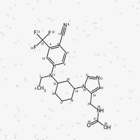 CCN(c1ccc(C#N)c(C(F)(F)F)c1)C1CCCC(n2cncc2CNC(=O)O)C1